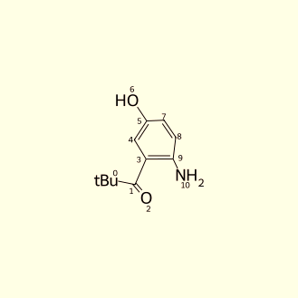 CC(C)(C)C(=O)c1cc(O)ccc1N